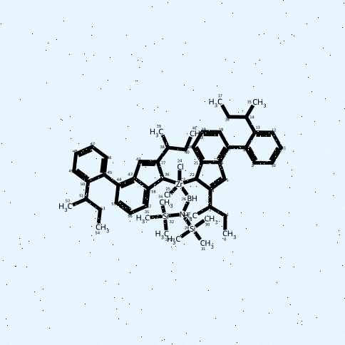 CCC(C)C1=Cc2c(-c3ccccc3C(C)CC)cccc2[CH]1[Zr]([Cl])([Cl])([BH]N([Si](C)(C)C)[Si](C)(C)C)[CH]1C(C(C)CC)=Cc2c(-c3ccccc3C(C)CC)cccc21